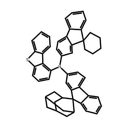 c1ccc2c(c1)-c1ccc(N(c3ccc4c(c3)C3(c5ccccc5-4)C4CC5CC(C4)CC3C5)c3cccc4sc5ccccc5c34)cc1C21CCCCC1